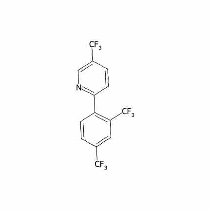 FC(F)(F)c1ccc(-c2ccc(C(F)(F)F)cc2C(F)(F)F)nc1